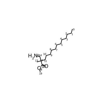 CCCCCCCCCCCCC(C)(CN)C(=O)OC